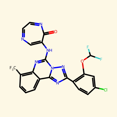 O=c1nccncc1Nc1nc2c(C(F)(F)F)cccc2c2nc(-c3ccc(Cl)cc3OC(F)F)nn12